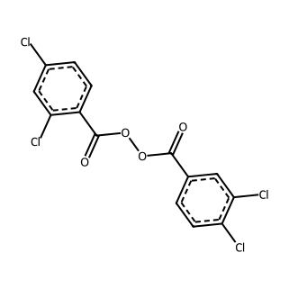 O=C(OOC(=O)c1ccc(Cl)cc1Cl)c1ccc(Cl)c(Cl)c1